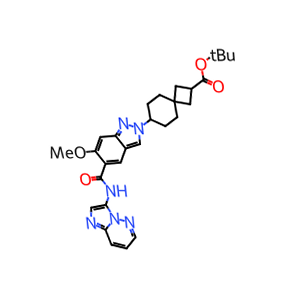 COc1cc2nn(C3CCC4(CC3)CC(C(=O)OC(C)(C)C)C4)cc2cc1C(=O)Nc1cnc2cccnn12